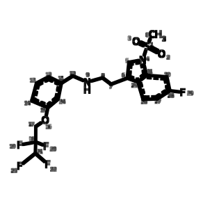 CS(=O)(=O)n1cc(CCNCc2cccc(OCC(F)(F)C(F)F)c2)c2ccc(F)cc21